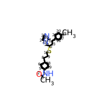 CC(=O)Nc1ccc(CCCSC(CCc2ccc(C)cc2)Cn2ccnc2)cc1